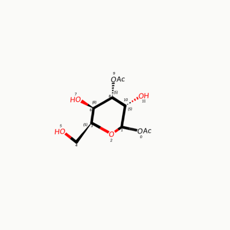 CC(=O)OC1O[C@@H](CO)[C@@H](O)[C@H](OC(C)=O)[C@@H]1O